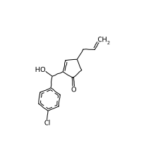 C=CCC1C=C(C(O)c2ccc(Cl)cc2)C(=O)C1